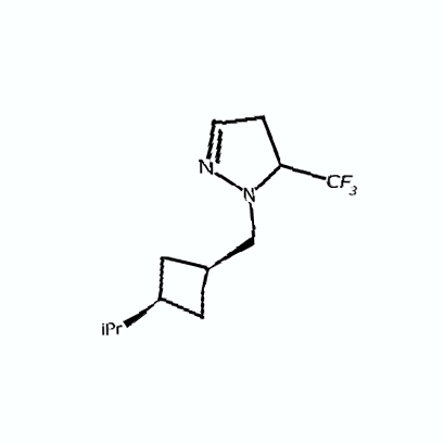 CC(C)[C@H]1C[C@@H](CN2N=CCC2C(F)(F)F)C1